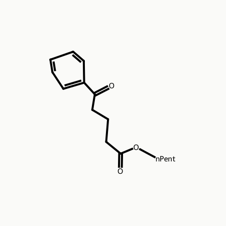 CCCCCOC(=O)CCCC(=O)c1ccccc1